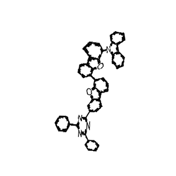 c1ccc(-c2nc(-c3ccccc3)nc(-c3ccc4c(c3)oc3c(-c5cccc6c5oc5c(-n7c8ccccc8c8ccccc87)cccc56)cccc34)n2)cc1